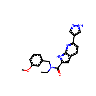 CCN(Cc1cccc(OC)c1)C(=O)c1cc2ccc(-c3cn[nH]c3)nc2[nH]1